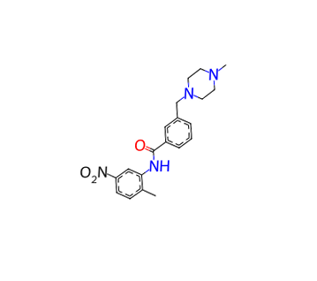 Cc1ccc([N+](=O)[O-])cc1NC(=O)c1cccc(CN2CCN(C)CC2)c1